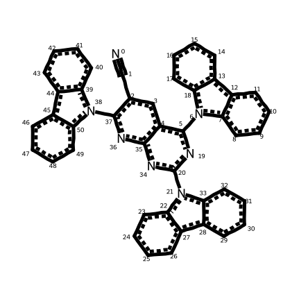 N#Cc1cc2c(-n3c4ccccc4c4ccccc43)nc(-n3c4ccccc4c4ccccc43)nc2nc1-n1c2ccccc2c2ccccc21